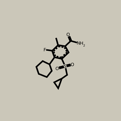 Cc1c(C(N)=O)cc(S(=O)(=O)CC2CC2)c(C2CCCCC2)c1F